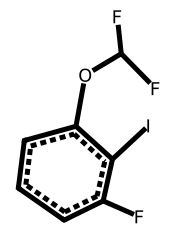 Fc1cccc(OC(F)F)c1I